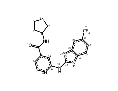 O=C(NC1CCNC1)c1ccnc(Nc2nc3ccc(C(F)(F)F)cc3s2)c1